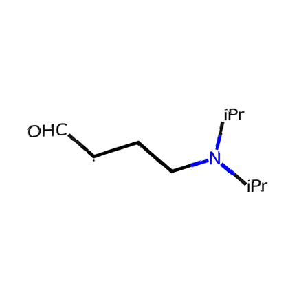 CC(C)N(CC[CH]C=O)C(C)C